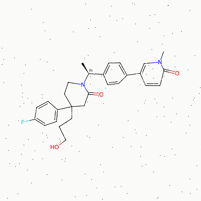 C[C@@H](c1ccc(-c2ccc(=O)n(C)c2)cc1)N1CCC(CCCO)(c2ccc(F)cc2)CC1=O